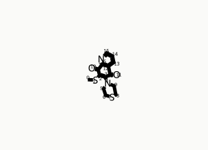 CSC1=C(N2CCSCC2)C(=O)c2cccnc2C1=O